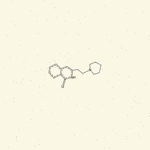 O=c1[nH]c(CCN2CCCCC2)cc2ccccc12